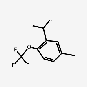 [CH2]C(C)c1cc(C)ccc1OC(F)(F)F